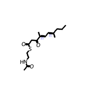 CCC/C(C)=C/C=C(\C)C(=O)CC(=O)SCCNC(C)=O